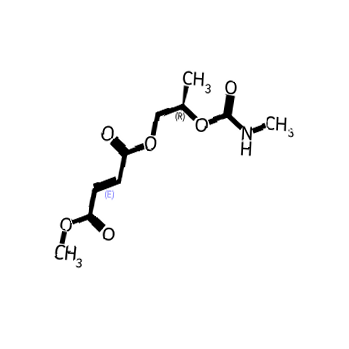 CNC(=O)O[C@H](C)COC(=O)/C=C/C(=O)OC